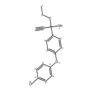 C#CC(O)(CCC)c1ccc(Oc2ccc(Cl)cc2)cc1